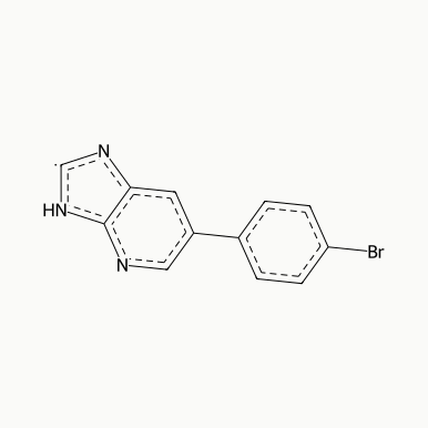 Brc1ccc(-c2cnc3[nH][c]nc3c2)cc1